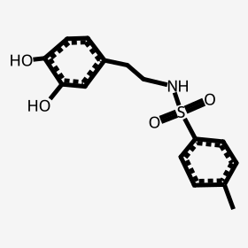 Cc1ccc(S(=O)(=O)NCCc2ccc(O)c(O)c2)cc1